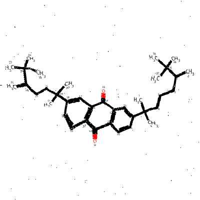 CC(CCCC(C)(C)c1ccc2c(c1)C(=O)c1cc(C(C)(C)CCC(C)C(C)(C)C)ccc1C2=O)C(C)(C)C